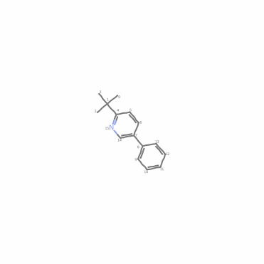 CC(C)(C)c1ccc(-c2ccccc2)cn1